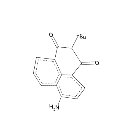 CCCCC1C(=O)c2cccc3c(N)ccc(c23)C1=O